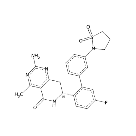 Cc1nc(N)nc2c1C(=O)N[C@@H](c1ccc(F)cc1-c1cccc(N3CCCS3(=O)=O)c1)C2